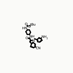 CC(C)(C)OC(=O)NC1CCC(NC(=O)c2cc3ccc(C#N)cc3n2Cc2cccc(N)c2)CC1